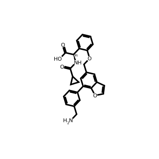 NCc1cccc(-c2cc(COc3ccccc3[C@@H](NC(=O)C3CC3)C(=O)O)cc3ccoc23)c1